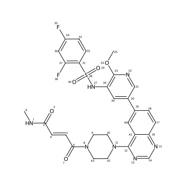 CNC(=O)/C=C/C(=O)N1CCN(c2ncnc3ccc(-c4cnc(OC)c(NS(=O)(=O)c5ccc(F)cc5F)c4)cc23)CC1